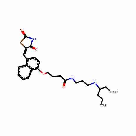 CCOC(=O)CC(CCC(=O)O)NCCCNC(=O)CCCOc1ccc(C=C2SC(=O)NC2=O)c2ccccc12